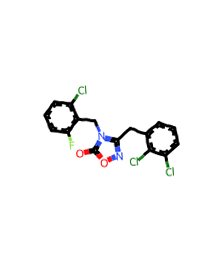 O=c1onc(Cc2cccc(Cl)c2Cl)n1Cc1c(F)cccc1Cl